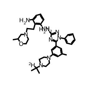 CC1CN(CCc2c(N)cccc2N)CCO1.[2H]C(C)(C)N1CCN(c2cc(C)cc(-c3nc(N)nn3-c3ccccc3)c2)CC1